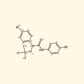 O=C(Nc1ccc(Br)cc1)N(OC(F)(F)F)c1ccc(Br)cc1